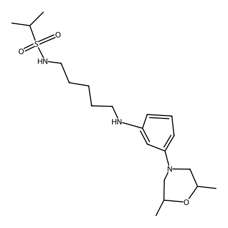 CC1CN(c2cccc(NCCCCCNS(=O)(=O)C(C)C)c2)CC(C)O1